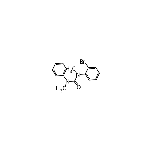 CN(C(=O)N(C)c1ccccc1Br)c1ccccc1